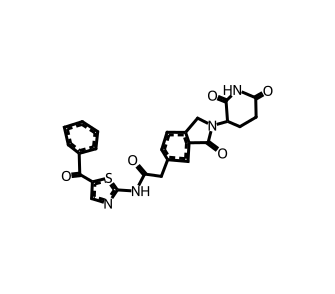 O=C1CCC(N2Cc3ccc(CC(=O)Nc4ncc(C(=O)c5ccccc5)s4)cc3C2=O)C(=O)N1